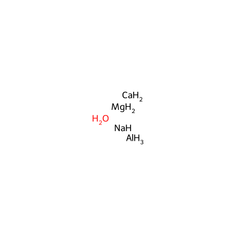 O.[AlH3].[CaH2].[MgH2].[NaH]